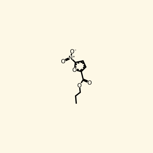 CCCOC(=O)c1ccc([N+](=O)[O-])o1